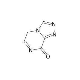 O=C1N=CCn2cnnc21